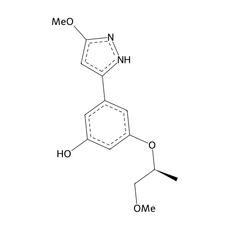 COC[C@H](C)Oc1cc(O)cc(-c2cc(OC)n[nH]2)c1